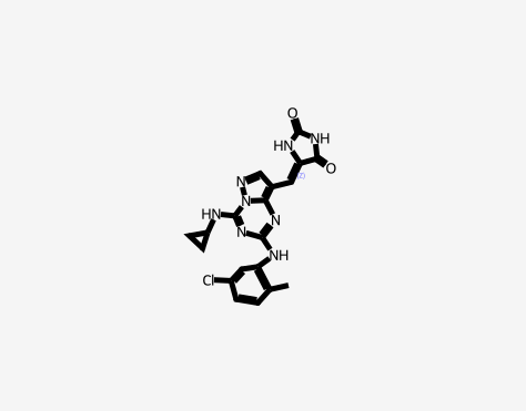 Cc1ccc(Cl)cc1Nc1nc(NC2CC2)n2ncc(/C=C3\NC(=O)NC3=O)c2n1